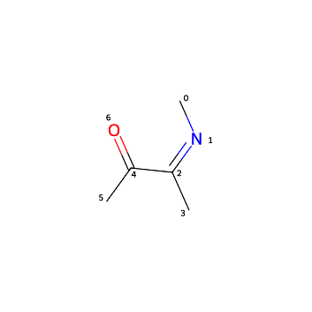 CN=C(C)C(C)=O